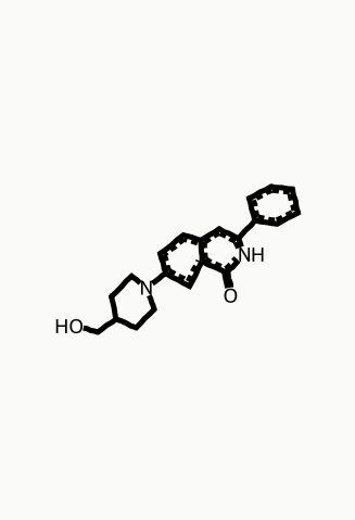 O=c1[nH]c(-c2ccccc2)cc2ccc(N3CCC(CO)CC3)cc12